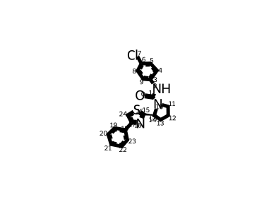 O=C(Nc1ccc(Cl)cc1)N1CCC[C@H]1c1nc(-c2ccccc2)cs1